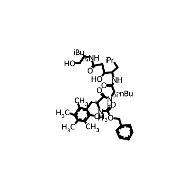 CCCC[C@H](NC(=O)[C@H](Cc1c(C)c(C)c(C)c(C)c1C)NC(=O)OCc1ccccc1)C(=O)NC(CC(C)C)C(O)CC(=O)N[C@H](CO)C(C)CC